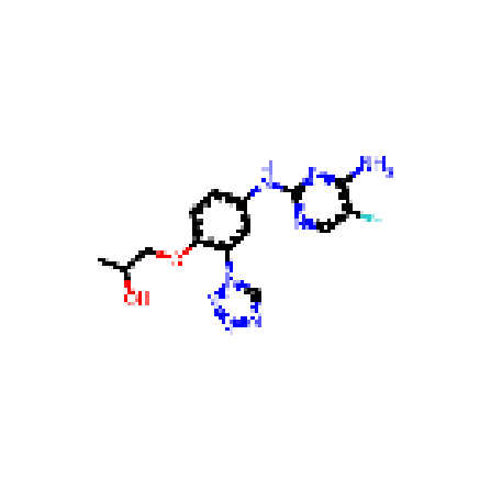 CC(O)COc1ccc(Nc2ncc(F)c(N)n2)cc1-n1cnnn1